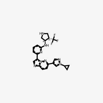 FC(F)(F)[C@H]1CNC[C@@H]1Nc1cccc(-c2cnc3ccc(-c4cnn(C5CC5)c4)nn23)n1